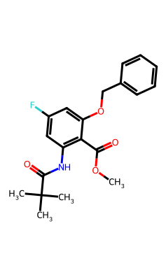 COC(=O)c1c(NC(=O)C(C)(C)C)cc(F)cc1OCc1ccccc1